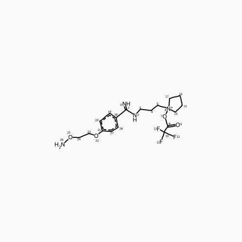 N=C(NCCC[N+]1(OC(=O)C(F)(F)F)CCCC1)c1ccc(OCCON)cc1